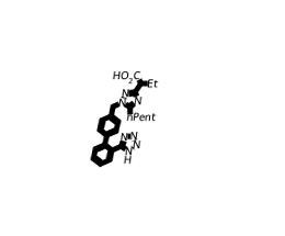 CCCCCc1nc(C(CC)C(=O)O)nn1Cc1ccc(-c2ccccc2-c2nnn[nH]2)cc1